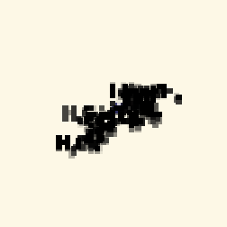 COc1cc(/C=C2\OC3(CC3)CN3C2=NNCC32CN(C)c3cc(F)ccc32)ccc1-n1cnc(C)c1